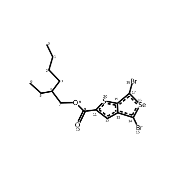 CCCCC(CC)COC(=O)c1cc2c(Br)[se]c(Br)c2s1